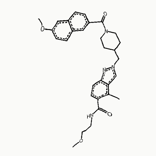 COCCNC(=O)c1ccc2nn(CC3CCN(C(=O)c4ccc5cc(OC)ccc5c4)CC3)cc2c1C